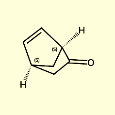 O=C1C[C@H]2C=C[C@@H]1C2